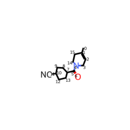 CC1=CCN(C(=O)C2CCC(C#N)CC2)CC1